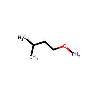 CC(C)CCOP